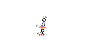 CC1CN(c2ccc(C#N)cc2)CCN1S(=O)(=O)c1ccc([C@](C)(O)C(F)(F)F)cc1